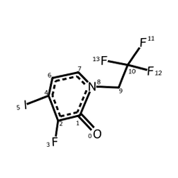 O=c1c(F)c(I)ccn1CC(F)(F)F